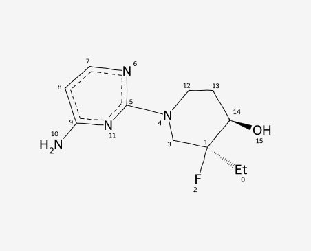 CC[C@]1(F)CN(c2nccc(N)n2)CC[C@H]1O